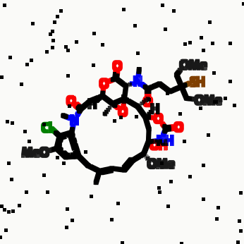 COCC(S)(CCC(=O)N(C)[C@H]1C(=O)O[C@H]2CC(=O)N(C)c3cc(cc(OC)c3Cl)C/C(C)=C/C=C/[C@@H](OC)[C@@]3(O)C[C@H](OC(=O)N3)[C@@H](C)[C@@]13O[C@@]23C)COC